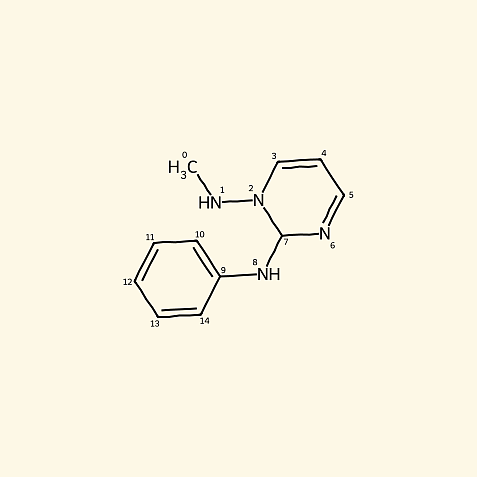 CNN1C=CC=NC1Nc1ccccc1